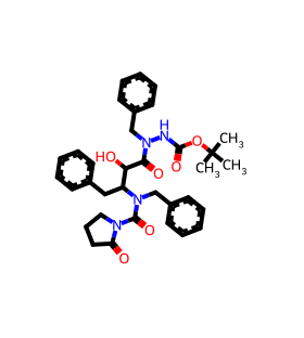 CC(C)(C)OC(=O)NN(Cc1ccccc1)C(=O)C(O)C(Cc1ccccc1)N(Cc1ccccc1)C(=O)N1CCCC1=O